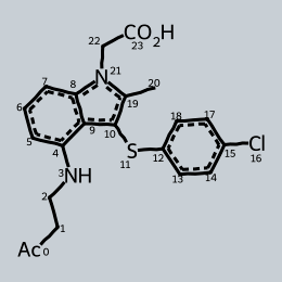 CC(=O)CCNc1cccc2c1c(Sc1ccc(Cl)cc1)c(C)n2CC(=O)O